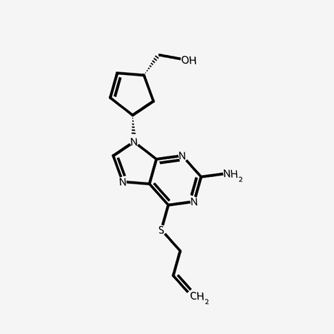 C=CCSc1nc(N)nc2c1ncn2[C@@H]1C=C[C@H](CO)C1